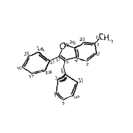 Cc1ccc2c(-c3ccccc3)c(-c3ccccc3)oc2c1